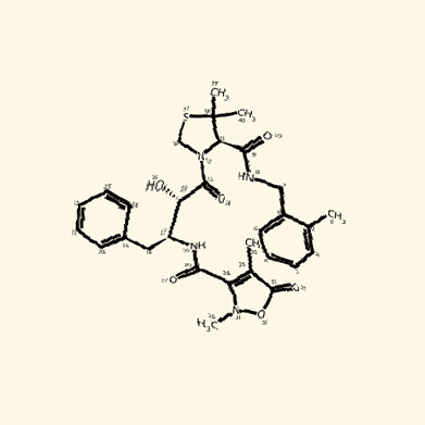 Cc1ccccc1CNC(=O)[C@H]1N(C(=O)[C@@H](O)[C@H](Cc2ccccc2)NC(=O)c2c(C)c(=O)on2C)CSC1(C)C